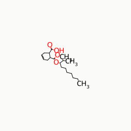 CCCCCCCC(OC(=O)C1CC=CCC1C(=O)O)C(C)C